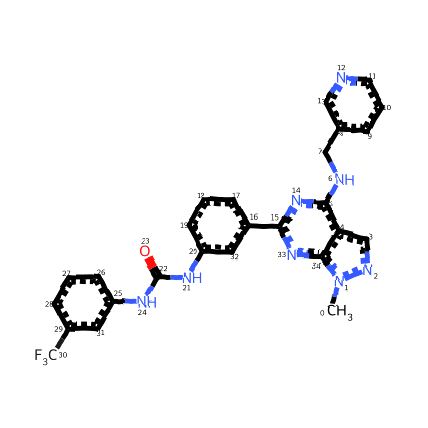 Cn1ncc2c(NCc3cccnc3)nc(-c3cccc(NC(=O)Nc4cccc(C(F)(F)F)c4)c3)nc21